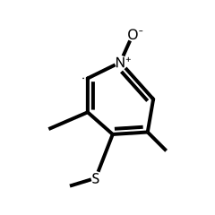 CSc1c(C)[c][n+]([O-])cc1C